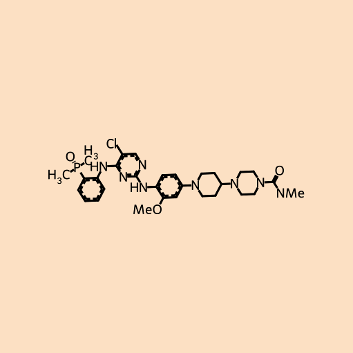 CNC(=O)N1CCN(C2CCN(c3ccc(Nc4ncc(Cl)c(Nc5ccccc5P(C)(C)=O)n4)c(OC)c3)CC2)CC1